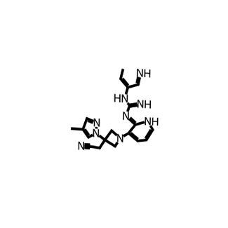 C/C=C(\C=N)NC(=N)/N=c1\[nH]cccc1N1CC(CC#N)(n2cc(C)cn2)C1